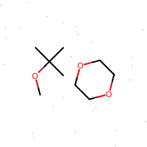 C1COCCO1.COC(C)(C)C